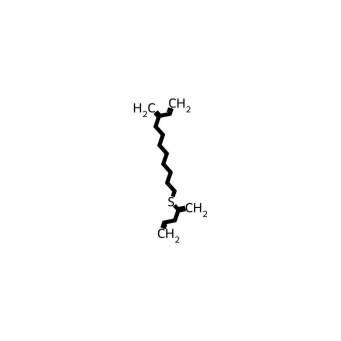 C=CCC(=C)SCCCCCCCCC(=C)C=C